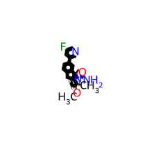 CO[C@@H]1CC[C@]2(Cc3ccc(-c4cncc(F)c4)cc3[C@@]23COC(N)=N3)C[C@H]1C